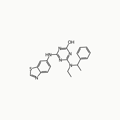 CCN(c1nc(O)nc(Nc2ccc3ncsc3c2)n1)C(C)c1ccccc1